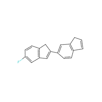 Fc1ccc2c(c1)C=C(c1ccc3c(c1)CC=C3)C2